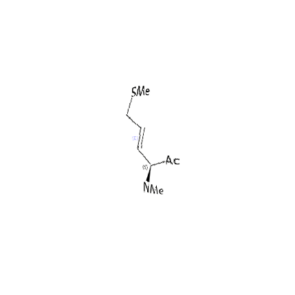 CN[C@@H](/C=C/CSC)C(C)=O